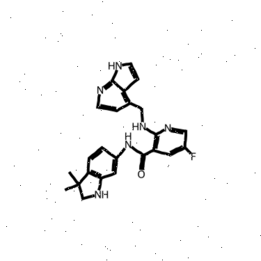 CC1(C)CNc2cc(NC(=O)c3cc(F)cnc3NCc3ccnc4[nH]ccc34)ccc21